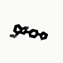 O=C(O)c1cccc2[nH]c(-c3ccc(-c4cccs4)cc3)nc12